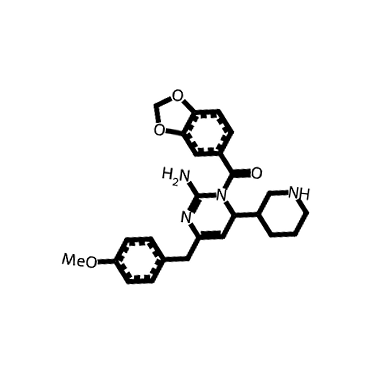 COc1ccc(CC2=CC(C3CCCNC3)N(C(=O)c3ccc4c(c3)OCO4)C(N)=N2)cc1